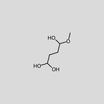 COC(O)CCC(O)O